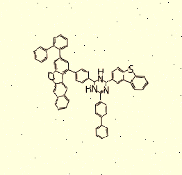 c1ccc(-c2ccc(C3=NC(c4ccc5sc6ccccc6c5c4)NC(c4ccc(-c5cc(-c6ccccc6-c6ccccc6)cc6oc7cc8ccccc8cc7c56)cc4)N3)cc2)cc1